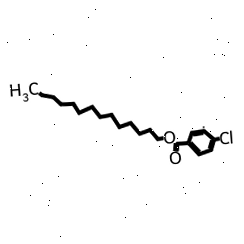 CCCCCCCCCCCCCCOC(=O)c1c[c]c(Cl)cc1